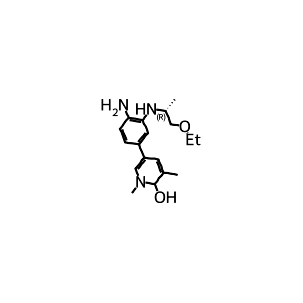 CCOC[C@@H](C)Nc1cc(C2=CN(C)C(O)C(C)=C2)ccc1N